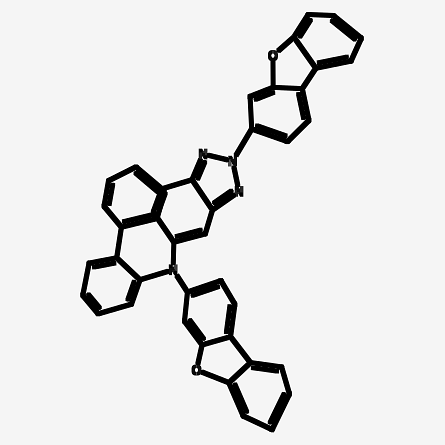 c1ccc(-c2ccccc2N(c2ccc3nn(-c4ccc5c(c4)oc4ccccc45)nc3c2)c2ccc3c(c2)oc2ccccc23)cc1